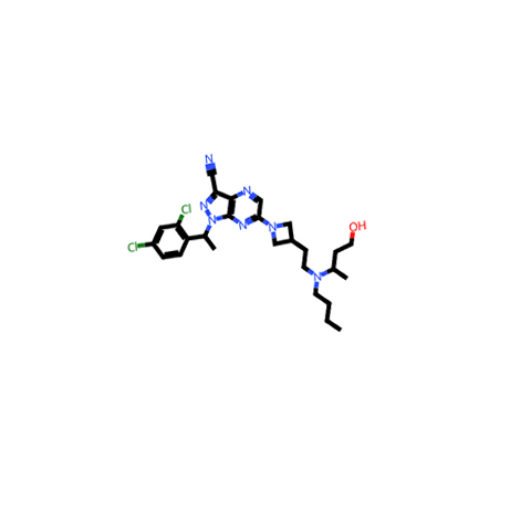 CCCCN(CCC1CN(c2cnc3c(C#N)nn(C(C)c4ccc(Cl)cc4Cl)c3n2)C1)C(C)CCO